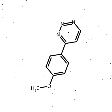 COc1ccc(-c2ccnnn2)cc1